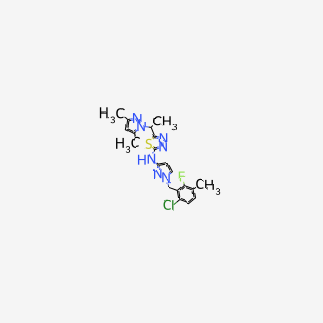 Cc1cc(C)n(C(C)c2nnc(Nc3ccn(Cc4c(Cl)ccc(C)c4F)n3)s2)n1